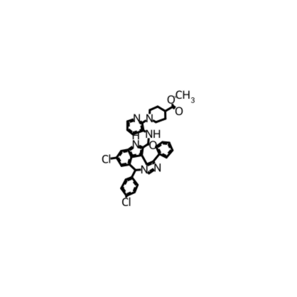 COC(=O)C1CCN(c2ncccc2NC(=O)c2[nH]c3cc(Cl)cc4c3c2-c2c(-c3ccccc3)ncn2C4c2ccc(Cl)cc2)CC1